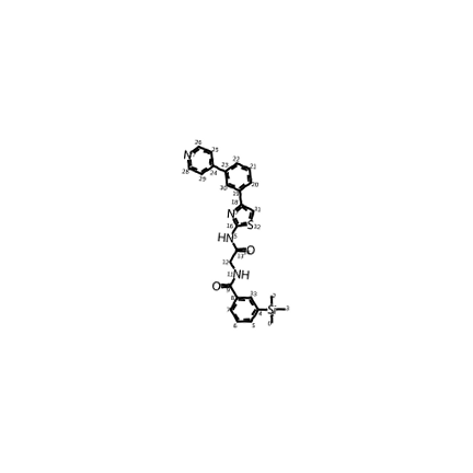 C[Si](C)(C)c1cccc(C(=O)NCC(=O)Nc2nc(-c3cccc(-c4ccncc4)c3)cs2)c1